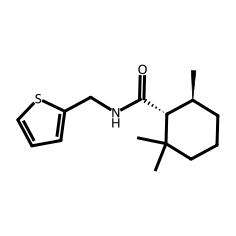 C[C@H]1CCCC(C)(C)[C@@H]1C(=O)NCc1cccs1